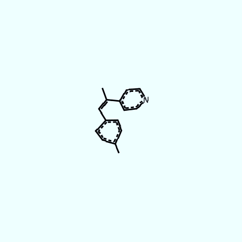 CC(=Cc1ccc(C)cc1)c1ccncc1